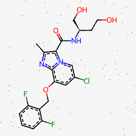 Cc1nc2c(OCc3c(F)cccc3F)cc(Cl)cn2c1C(=O)N[C@@H](CO)CCO